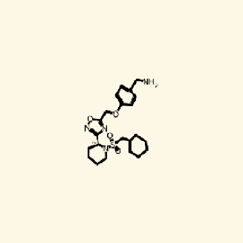 NCc1ccc(OCc2nc([C@@H]3CCCCN3S(=O)(=O)CC3CCCCC3)no2)cc1